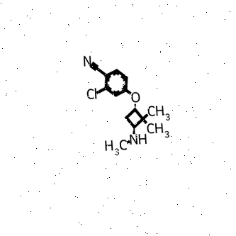 CN[C@H]1C[C@H](Oc2ccc(C#N)c(Cl)c2)C1(C)C